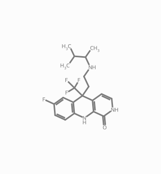 CC(C)C(C)NCCC1(C(F)(F)F)c2cc(F)ccc2Nc2c1cc[nH]c2=O